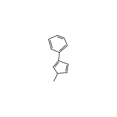 CC1[C]=CC(c2ccccc2)=C1